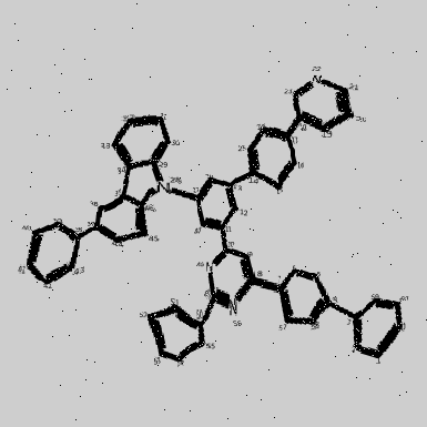 c1ccc(-c2ccc(-c3cc(-c4cc(-c5ccc(-c6cccnc6)cc5)cc(-n5c6ccccc6c6cc(-c7ccccc7)ccc65)c4)nc(-c4ccccc4)n3)cc2)cc1